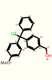 COc1ccc(C(Cl)(c2ccccc2)c2ccc(CO)cc2)cc1